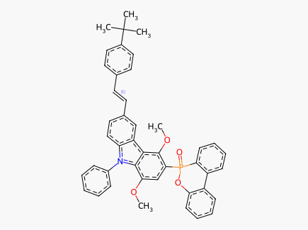 COc1c(P2(=O)Oc3ccccc3-c3ccccc32)cc(OC)c2c1c1cc(/C=C/c3ccc(C(C)(C)C)cc3)ccc1n2-c1ccccc1